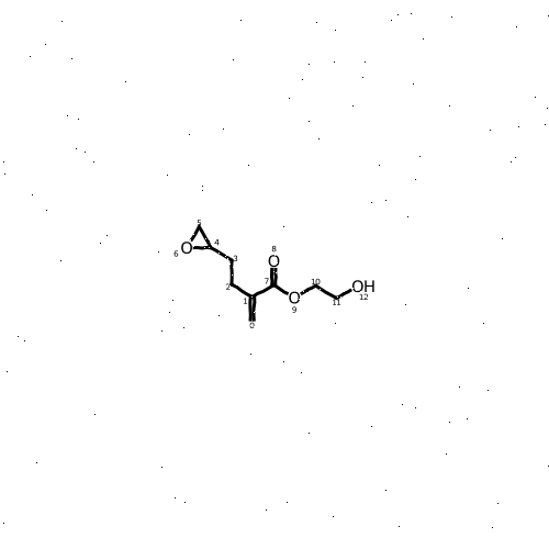 C=C(CCC1CO1)C(=O)OCCO